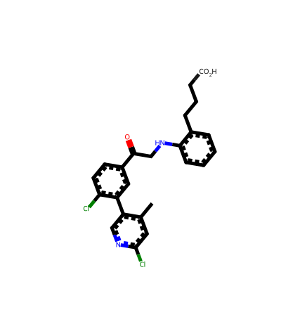 Cc1cc(Cl)ncc1-c1cc(C(=O)CNc2ccccc2CCCC(=O)O)ccc1Cl